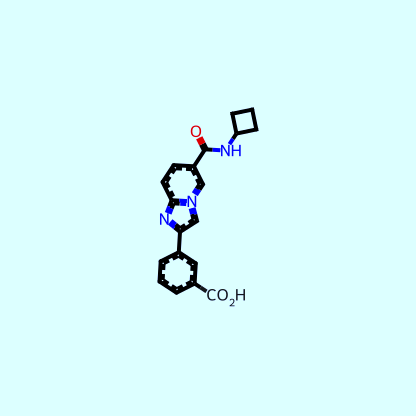 O=C(O)c1cccc(-c2cn3cc(C(=O)NC4CCC4)ccc3n2)c1